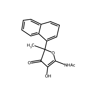 CC(=O)NC1=C(O)C(=O)C(C)(c2cccc3ccccc23)O1